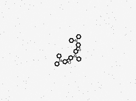 c1ccc(N(c2ccc3c(c2)oc2ccc(N(c4ccccc4)c4ccccc4)cc23)c2ccc3c(c2)sc2ccc(N(c4ccccc4)c4ccccc4)cc23)cc1